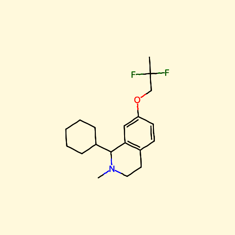 CN1CCc2ccc(OCC(C)(F)F)cc2C1C1CCCCC1